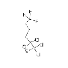 FC(F)(F)CC[CH]C(Cl)(Cl)C(Cl)(Cl)Cl